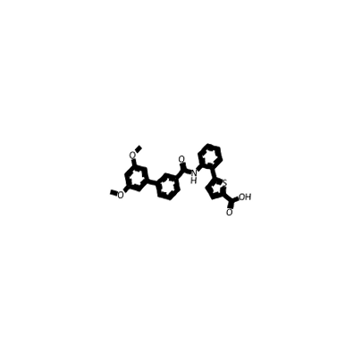 COc1cc(OC)cc(-c2cccc(C(=O)Nc3ccccc3-c3ccc(C(=O)O)s3)c2)c1